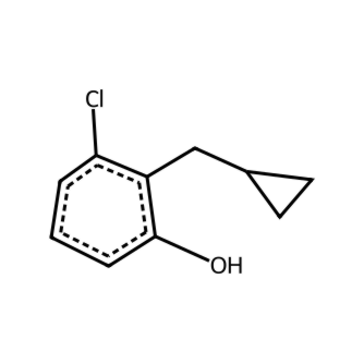 Oc1cccc(Cl)c1CC1CC1